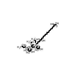 CCCC[C@H](CCC[C@H](O)[C@H](O)CCCCCCCCCCCCCC[C@H](O)C(=O)O)OC1OC[C@H](O)[C@@H](O)[C@@H]1O[C@H]1OC[C@H](OC(C)=O)[C@@H](O)[C@@H]1O[C@H]1O[C@@H](COC(=O)CC(C)C)[C@H](O)[C@@H](O)[C@@H]1O